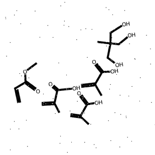 C=C(C)C(=O)O.C=C(C)C(=O)O.C=C(C)C(=O)O.C=CC(=O)OC.CC(CO)(CO)CO